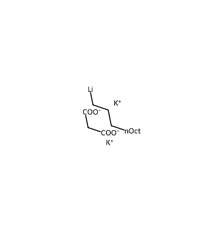 O=C([O-])CC(=O)[O-].[K+].[K+].[Li][CH2]CCCCCCCCCC